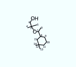 CC(OC(C)(C)CO)C1CCCC(C)(C)C1